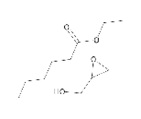 CCCCCC(=O)OCC.OCC1CO1